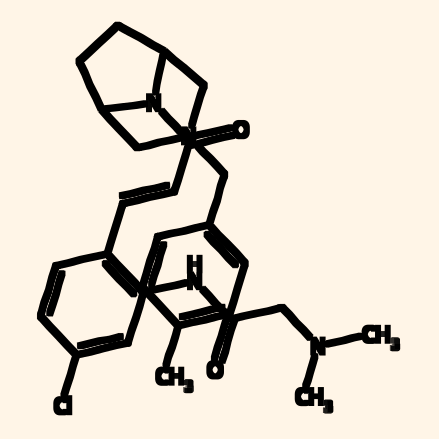 Cc1ccc(CN2CC3CCC(C2)N3C(=O)/C=C/c2ccc(Cl)cc2NC(=O)CN(C)C)cc1